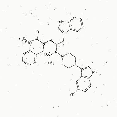 COc1ccccc1CN(C[C@@H](Cc1c[nH]c2ccccc12)N(C(C)=O)N1CCC(c2c[nH]c3ccc(Cl)cc23)CC1)C(C)=O